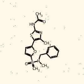 C=S(=O)(c1ccc(-c2sc(NC(C)=O)nc2C)o1)N(C)Cc1ccccc1